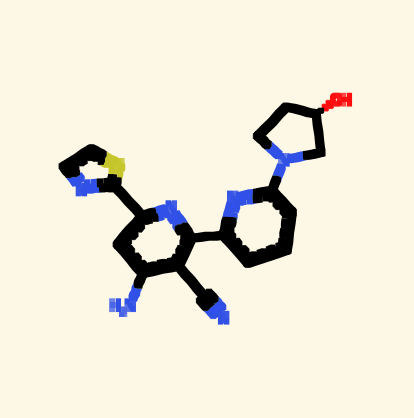 N#Cc1c(N)cc(-c2nccs2)nc1-c1cccc(N2CC[C@H](O)C2)n1